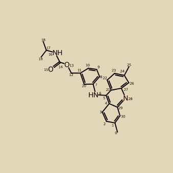 Cc1ccc2c(Nc3cccc(COC(=O)NC(C)C)c3)c3ccc(C)cc3nc2c1